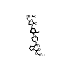 CC(=O)NC[C@H]1CN(c2ccc(N3CCN(C(=O)C4CCCN4C(=O)OC(C)(C)C)CC3)c(F)c2)C(=O)O1